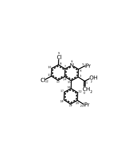 C=C(O)c1c(C(C)C)nc2c(Cl)cc(Cl)cc2c1-c1cccc(C(C)C)c1